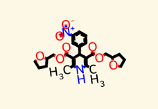 CC1=C(C(=O)OCC2CCCO2)C(c2cccc([N+](=O)[O-])c2)C(C(=O)OCC2CCCO2)=C(C)N1